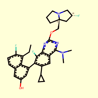 CCc1c(F)ccc2cc(O)cc(-c3c(C4CC4)cc4c(N(C)C)nc(OC[C@@]56CCCN5C[C@H](F)C6)nc4c3F)c12